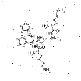 NCCCCC(N)C(=O)NC(N)CCCC(N)(NC(=O)C(N)CCCCN)C(=O)NC(c1ccccc1)c1ccccc1